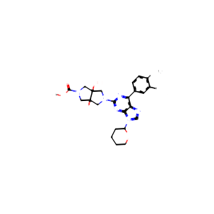 Bc1cc(-c2nc(N3CC4(O)CN(C(=O)OC(C)(C)C)CC4(O)C3)nc3c2ncn3C2CCCCO2)ccc1OC